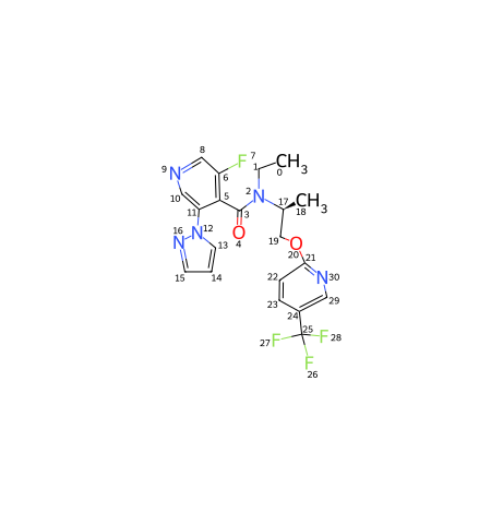 CCN(C(=O)c1c(F)cncc1-n1cccn1)[C@@H](C)COc1ccc(C(F)(F)F)cn1